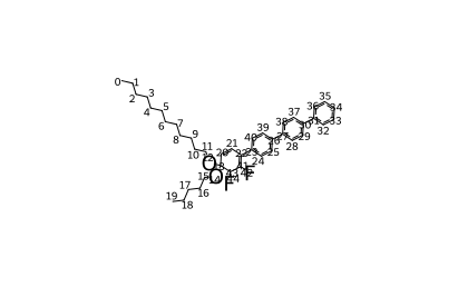 CCCCCCCCCCCCOC1(OCCCCC)C=CC(c2ccc(-c3ccc(-c4ccccc4)cc3)cc2)=C(F)C1F